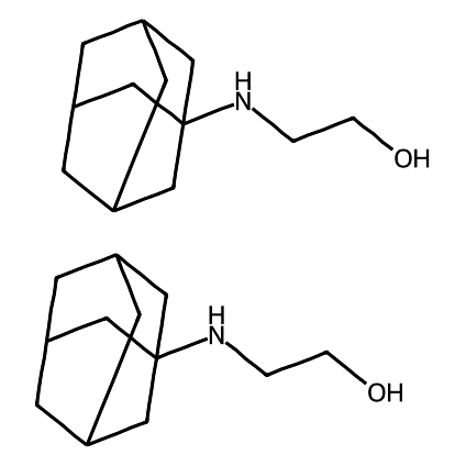 OCCNC12CC3CC(CC(C3)C1)C2.OCCNC12CC3CC(CC(C3)C1)C2